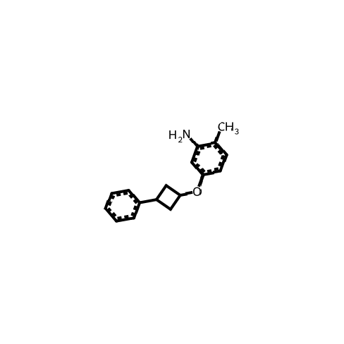 Cc1ccc(OC2CC(c3ccccc3)C2)cc1N